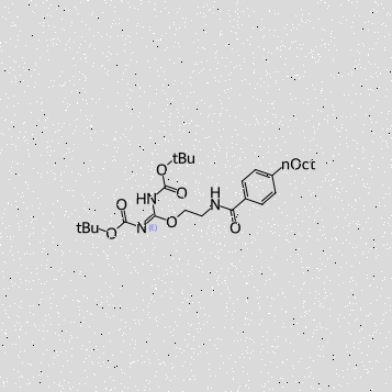 CCCCCCCCc1ccc(C(=O)NCCO/C(=N/C(=O)OC(C)(C)C)NC(=O)OC(C)(C)C)cc1